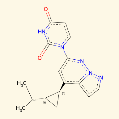 CC(C)[C@H]1C[C@@H]1c1cc(-n2ccc(=O)[nH]c2=O)nn2nccc12